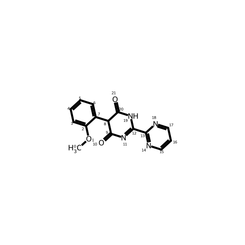 COc1ccccc1C1C(=O)N=C(c2ncccn2)NC1=O